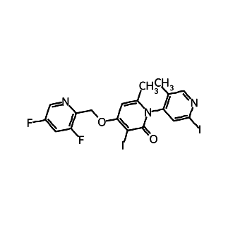 Cc1cnc(I)cc1-n1c(C)cc(OCc2ncc(F)cc2F)c(I)c1=O